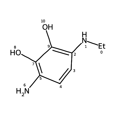 CCNc1ccc(N)c(O)c1O